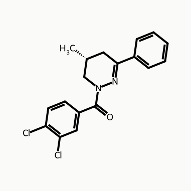 C[C@@H]1CC(c2ccccc2)=NN(C(=O)c2ccc(Cl)c(Cl)c2)C1